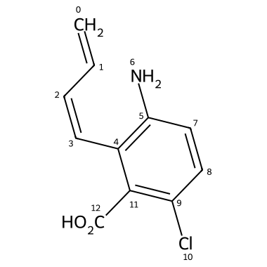 C=C/C=C\c1c(N)ccc(Cl)c1C(=O)O